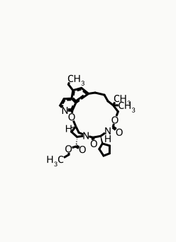 CCOC(=O)[C@@H]1C[C@@H]2CN1C(=O)[C@H](C1CCCC1)NC(=O)OCC(C)(C)CCCc1cc(CC)c3ccnc(c3c1)O2